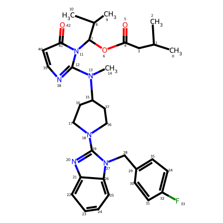 CC(C)CC(=O)OC(C(C)C)n1c(N(C)C2CCN(c3nc4ccccc4n3Cc3ccc(F)cc3)CC2)nccc1=O